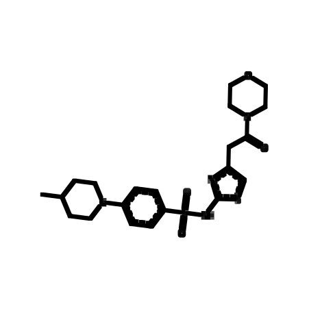 CC1CCN(c2ccc(S(=O)(=O)Nc3nc(CC(=O)N4CCOCC4)cs3)cc2)CC1